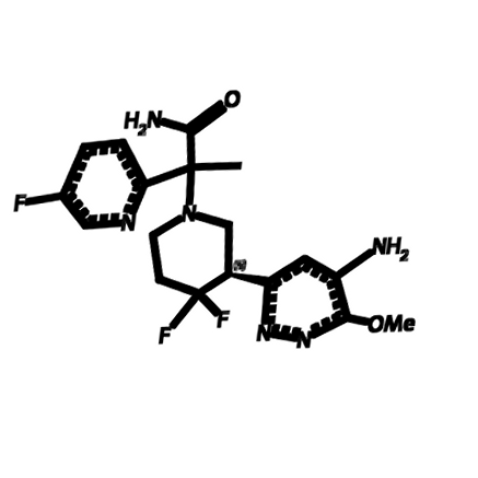 COc1nnc([C@@H]2CN(C(C)(C(N)=O)c3ccc(F)cn3)CCC2(F)F)cc1N